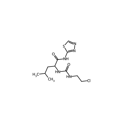 CC(C)CC(NC(=O)NCCCl)C(=O)Nc1nncs1